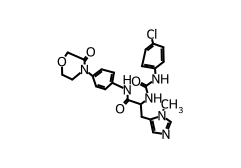 Cn1cncc1CC(NC(=O)Nc1ccc(Cl)cc1)C(=O)Nc1ccc(N2CCOCC2=O)cc1